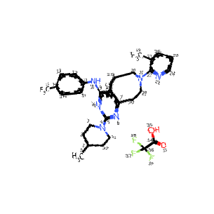 CC1CCN(c2nc3c(c(Nc4ccc(C(F)(F)F)cc4)n2)CCN(c2ncccc2C(F)(F)F)CC3)CC1.O=C(O)C(F)(F)F